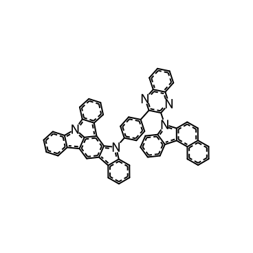 c1ccc2c(c1)ccc1c2c2ccccc2n1-c1nc2ccccc2nc1-c1ccc(-n2c3ccccc3c3cc4c5ccccc5n5c6ccccc6c(c32)c45)cc1